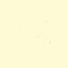 COc1ccc(-n2ncnc2[C@@H](C)NC(=O)c2cc(Cl)cc(S(C)(=O)=O)c2)nc1